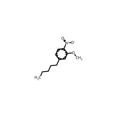 CCCCCc1ccc([N+](=O)[O-])c(OC)c1